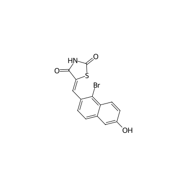 O=C1NC(=O)C(=Cc2ccc3cc(O)ccc3c2Br)S1